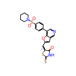 O=C1NC(=S)S/C1=C/c1cc2cncc(-c3ccc(S(=O)(=O)N4CCCCC4)cc3)c2o1